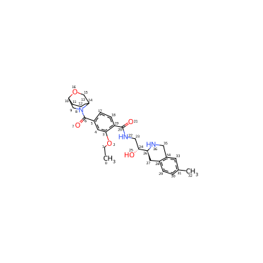 CCOc1cc(C(=O)N2CC3CCCC2CO3)ccc1C(=O)NC[C@@H](O)[C@@H]1Cc2ccc(C)cc2CN1